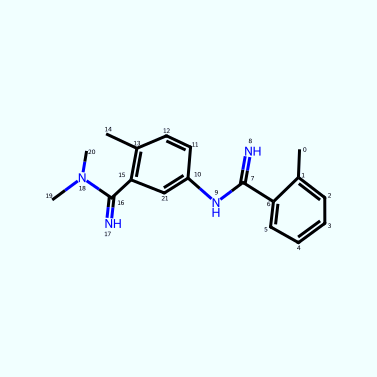 Cc1ccccc1C(=N)Nc1ccc(C)c(C(=N)N(C)C)c1